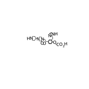 O=C(O)COc1ccc(C(=O)CN2CCN(C3CCNCC3)CC2=O)cc1Cc1ncc[nH]1